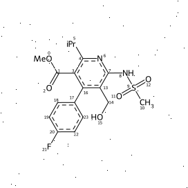 COC(=O)c1c(C(C)C)nc(NS(C)(=O)=O)c(CO)c1-c1ccc(F)cc1